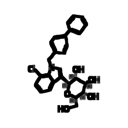 OC[C@H]1O[C@@H](c2cn(Cc3ccc(-c4ccccc4)cc3)c3c(Cl)cccc23)[C@H](O)[C@@H](O)[C@@H]1O